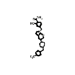 NC(=O)c1ccc(Cn2ccc3cc(C4CCN(Cc5ccc(C(F)(F)F)cc5)CC4)cnc32)cc1O